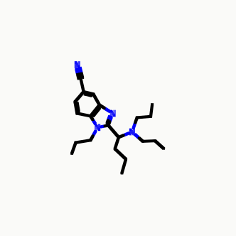 CCCC(c1nc2cc(C#N)ccc2n1CCC)N(CCC)CCC